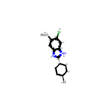 CC[C@H]1CC[C@H](c2nc3cc(OC)c(Br)cc3[nH]2)CC1